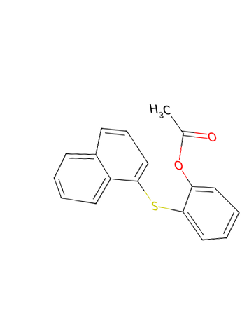 CC(=O)Oc1ccccc1Sc1cccc2ccccc12